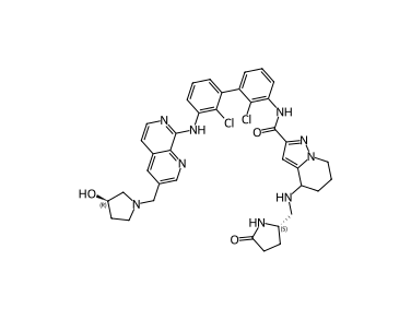 O=C1CC[C@@H](CNC2CCCn3nc(C(=O)Nc4cccc(-c5cccc(Nc6nccc7cc(CN8CC[C@@H](O)C8)cnc67)c5Cl)c4Cl)cc32)N1